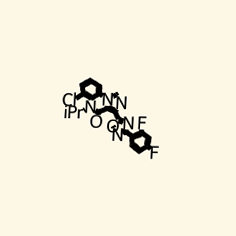 CC(C)n1c(=O)c2c(-c3nc(-c4ccc(F)cc4F)no3)ncn2c2cccc(Cl)c21